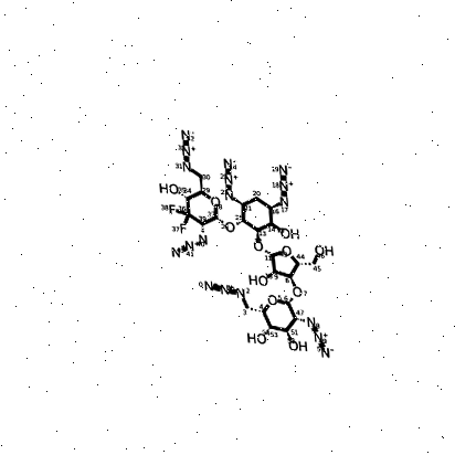 [N-]=[N+]=NC[C@@H]1O[C@H](O[C@H]2[C@@H](O)[C@H](O[C@@H]3C(O)[C@H](N=[N+]=[N-])C[C@H](N=[N+]=[N-])[C@H]3O[C@H]3O[C@H](CN=[N+]=[N-])[C@@H](O)C(F)(F)[C@H]3N=[N+]=[N-])O[C@@H]2CO)[C@H](N=[N+]=[N-])[C@@H](O)[C@@H]1O